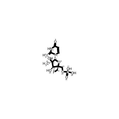 C=C1NC(=O)C=CN1[C@@H]1O[C@](CF)(COP(=O)(O)O)[C@@H](O)[C@@]1(C)O